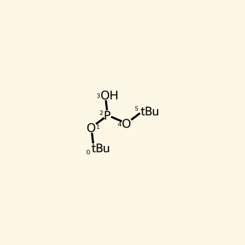 CC(C)(C)OP(O)OC(C)(C)C